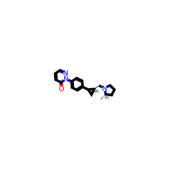 C[C@H]1CCCN1C[C@@H]1CC1c1ccc(-n2ncccc2=O)cc1